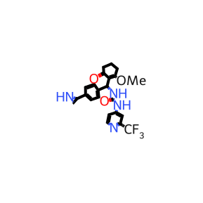 COC1=C(C(NC(=O)Nc2ccnc(C(F)(F)F)c2)c2ccc(C3CN3)cc2)C(=O)CCC1